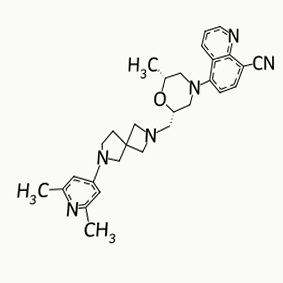 Cc1cc(N2CCC3(CN(C[C@H]4CN(c5ccc(C#N)c6ncccc56)C[C@@H](C)O4)C3)C2)cc(C)n1